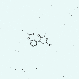 CCC(=O)N(CC(=O)OC)c1cccc(OC(C)=O)c1